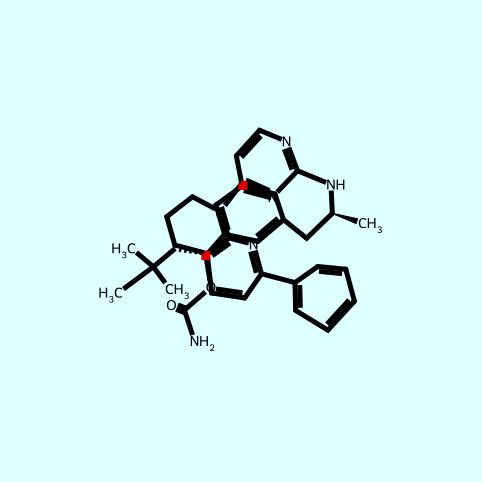 C[C@@H](Cc1cccc([C@@H](CC(C)(C)C)OC(N)=O)c1)Nc1nccc(N2CCCc3ccc(-c4ccccc4)nc32)n1